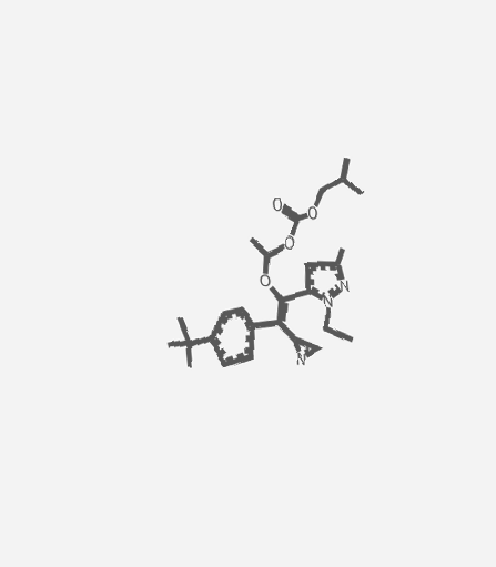 CCn1nc(C)cc1/C(OC(C)OC(=O)OCC(C)C)=C(/c1ccc(C(C)(C)C)cc1)C1C=N1